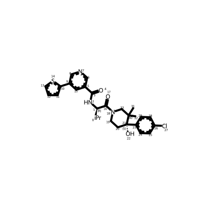 CC(C)[C@@H](NC(=O)c1cncc(-c2cccs2)c1)C(=O)N1CC[C@](O)(c2ccc(Cl)cc2)C(C)(C)C1